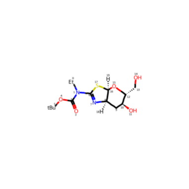 CCN(C(=O)OC(C)(C)C)C1=N[C@@H]2C[C@H](O)[C@@H](CO)O[C@@H]2S1